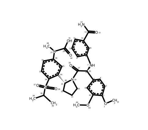 COc1ccc([C@H](Nc2cccc(C(N)=O)c2)C(=O)N2CCC[C@@H]2c2cc(N(C)C(=O)O)ccc2S(=O)(=O)C(C)C)cc1OC